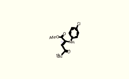 COC(=O)/C(=C/C(=O)C(C)(C)C)Nc1ccc(Cl)cc1